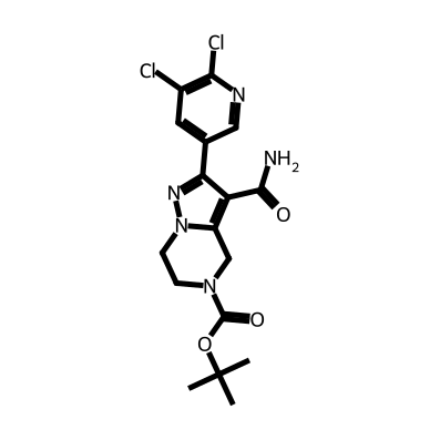 CC(C)(C)OC(=O)N1CCn2nc(-c3cnc(Cl)c(Cl)c3)c(C(N)=O)c2C1